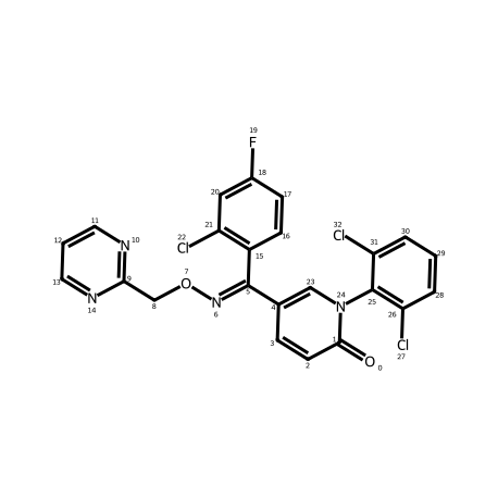 O=c1ccc(C(=NOCc2ncccn2)c2ccc(F)cc2Cl)cn1-c1c(Cl)cccc1Cl